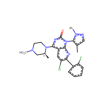 Cc1cnn(C(C)C)c1-n1c(=O)nc(N2CCN(C(=O)O)C[C@@H]2C)c2cc(Cl)c(-c3ccccc3F)nc21